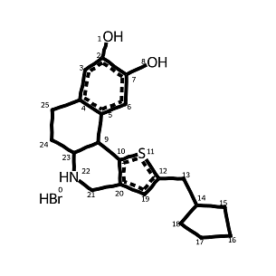 Br.Oc1cc2c(cc1O)C1c3sc(CC4CCCC4)cc3CNC1CC2